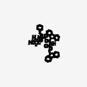 N[C@@](CCc1ccccc1)(CC(=O)O)C(=O)O[C@@H](NC(=O)OCC1c2ccccc2-c2ccccc21)C1c2ccccc2-c2ccccc21